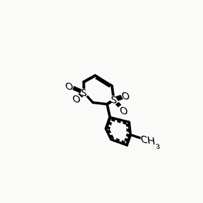 Cc1cccc(C2CS(=O)(=O)CC=CS2(=O)=O)c1